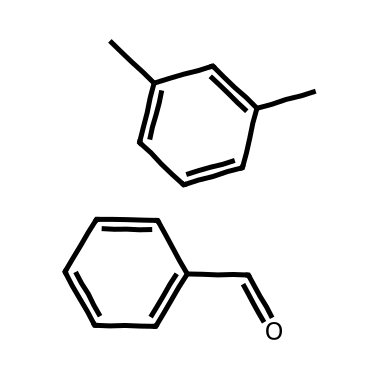 Cc1cccc(C)c1.O=Cc1ccccc1